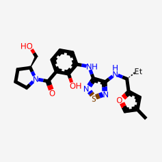 CC[C@@H](Nc1nsnc1Nc1cccc(C(=O)N2CCC[C@H]2CO)c1O)c1cc(C)co1